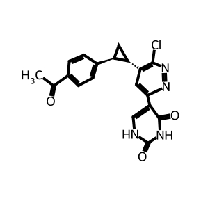 CC(=O)c1ccc([C@H]2C[C@@H]2c2cc(-c3c[nH]c(=O)[nH]c3=O)nnc2Cl)cc1